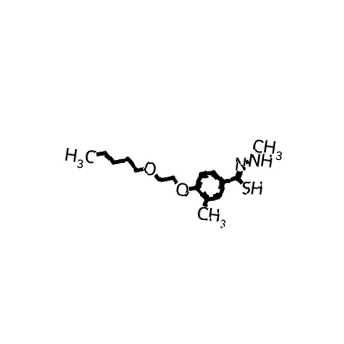 CCCCCOCCOc1ccc(/C(S)=N/NC)cc1C